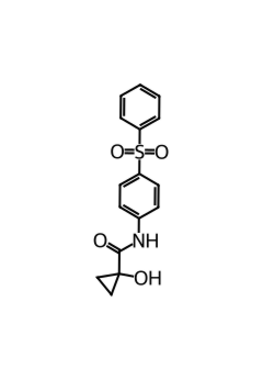 O=C(Nc1ccc(S(=O)(=O)c2ccccc2)cc1)C1(O)CC1